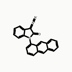 [N-]=[N+]=C1C(=O)N(c2cccc3cc4ccccc4cc23)c2ccccc21